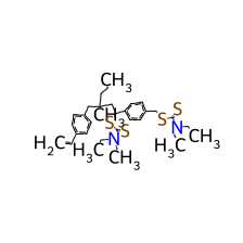 C=Cc1ccc(CC(C)(CCC)CC(SC(=S)N(CC)CC)c2ccc(CSC(=S)N(CC)CC)cc2)cc1